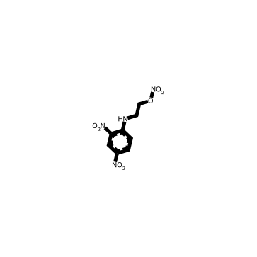 O=[N+]([O-])OCCNc1ccc([N+](=O)[O-])cc1[N+](=O)[O-]